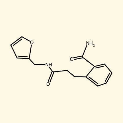 NC(=O)c1ccccc1[CH]CC(=O)NCc1ccco1